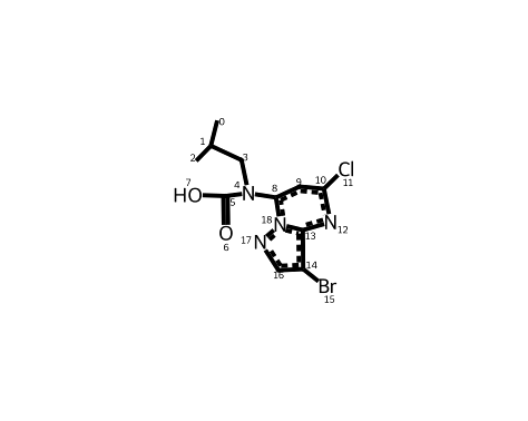 CC(C)CN(C(=O)O)c1cc(Cl)nc2c(Br)cnn12